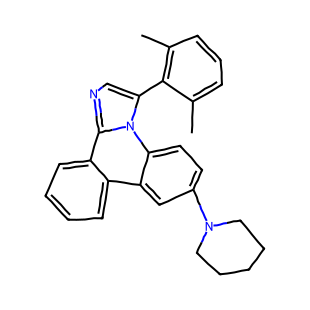 Cc1cccc(C)c1-c1cnc2c3ccccc3c3cc(N4CCCCC4)ccc3n12